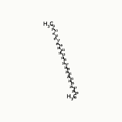 CCC=CCC=CCC=CCC=CCC=CCCC=CCC=CCC=CCC=CCC